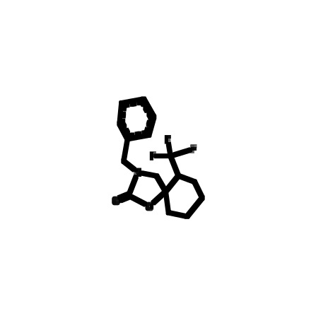 O=C1OC2(CCCCC2C(F)(F)F)CN1Cc1ccccc1